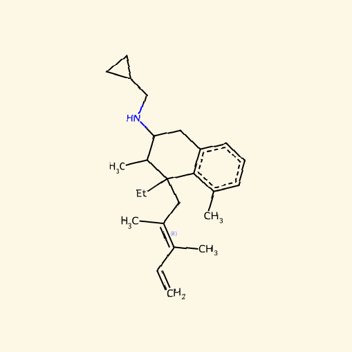 C=C/C(C)=C(\C)CC1(CC)c2c(C)cccc2CC(NCC2CC2)C1C